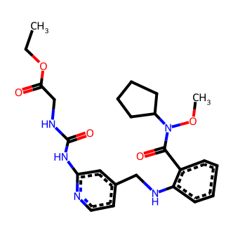 CCOC(=O)CNC(=O)Nc1cc(CNc2ccccc2C(=O)N(OC)C2CCCC2)ccn1